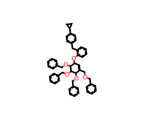 C1=C(COCc2ccccc2)C(OCc2ccccc2)C(OCc2ccccc2)C(OCc2ccccc2)C1Oc1ccccc1Cc1ccc(C2CC2)cc1